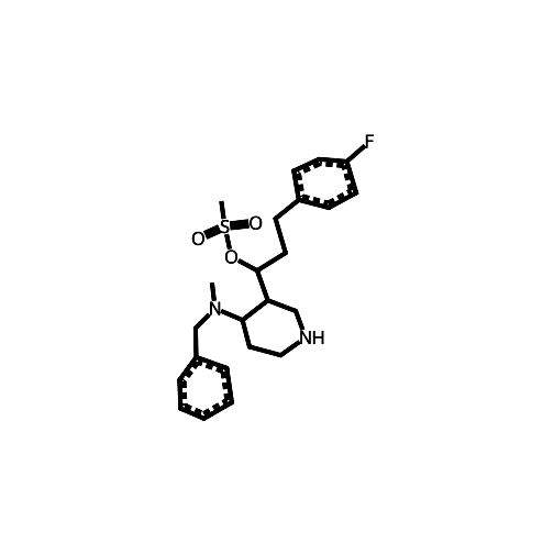 CN(Cc1ccccc1)C1CCNCC1C(CCc1ccc(F)cc1)OS(C)(=O)=O